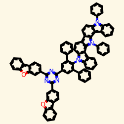 c1ccc(-c2cc(-c3nc(-c4ccc5c(c4)oc4ccccc45)nc(-c4ccc5c(c4)oc4ccccc45)n3)cc(-c3ccccc3)c2-n2c3ccccc3c3c2ccc2c4ccc5c(c6ccccc6n5-c5ccccc5)c4n(-c4ccccc4)c23)cc1